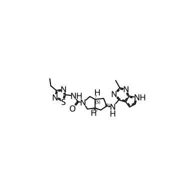 CCc1nsc(NC(=O)N2C[C@H]3C[C@@H](Nc4nc(C)nc5[nH]ccc45)C[C@H]3C2)n1